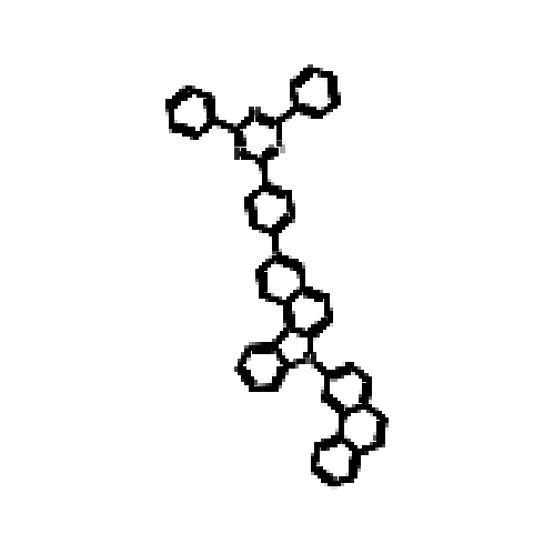 c1ccc(-c2nc(-c3ccccc3)nc(-c3ccc(-c4ccc5c(ccc6c5c5ccccc5n6-c5ccc6ccc7ccccc7c6c5)c4)cc3)n2)cc1